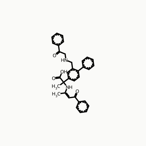 CC(=CC(=O)c1ccccc1)NC(C)(C(=O)O)c1ccc(-c2ccccc2)c(CNCC(=O)c2ccccc2)c1